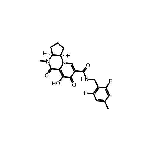 Cc1cc(F)c(CNC(=O)c2cn3c(c(O)c2=O)C(=O)N(C)[C@H]2CCC[C@H]23)c(F)c1